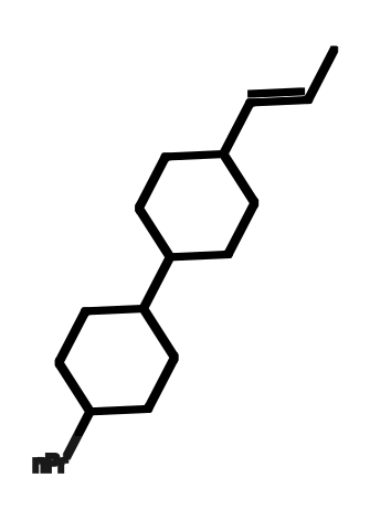 C/C=C/C1CCC(C2CCC(CCC)CC2)CC1